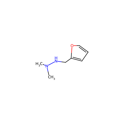 CN(C)NCc1ccco1